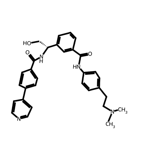 CN(C)CCc1ccc(NC(=O)c2cccc([C@@H](CO)NC(=O)c3ccc(-c4ccncc4)cc3)c2)cc1